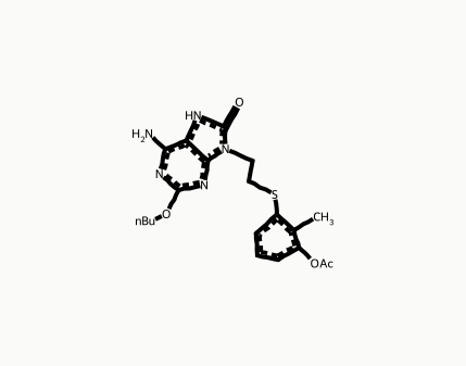 CCCCOc1nc(N)c2[nH]c(=O)n(CCSc3cccc(OC(C)=O)c3C)c2n1